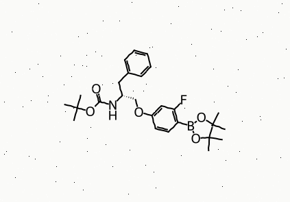 CC(C)(C)OC(=O)N[C@@H](COc1ccc(B2OC(C)(C)C(C)(C)O2)c(F)c1)Cc1ccccc1